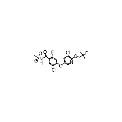 CC(C)(F)COc1ncc(Oc2cc(F)c(C(=O)NS(C)(=O)=O)cc2Cl)cc1Cl